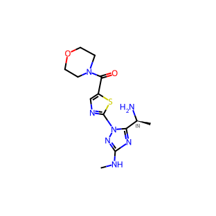 CNc1nc([C@H](C)N)n(-c2ncc(C(=O)N3CCOCC3)s2)n1